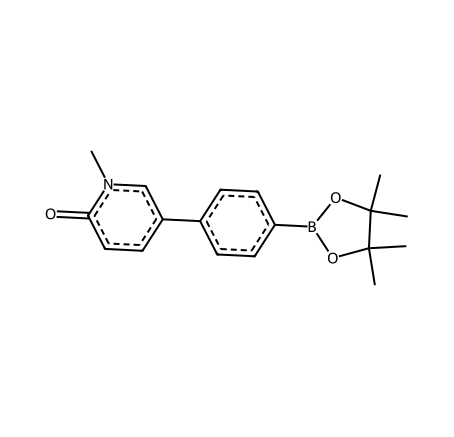 Cn1cc(-c2ccc(B3OC(C)(C)C(C)(C)O3)cc2)ccc1=O